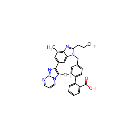 CCCc1nc2c(C)cc(-c3nc4ncccn4c3C)cc2n1Cc1ccc(-c2ccccc2C(=O)O)cc1